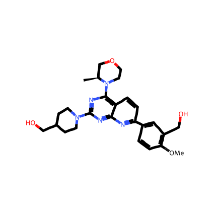 COc1ccc(-c2ccc3c(N4CCOC[C@@H]4C)nc(N4CCC(CO)CC4)nc3n2)cc1CO